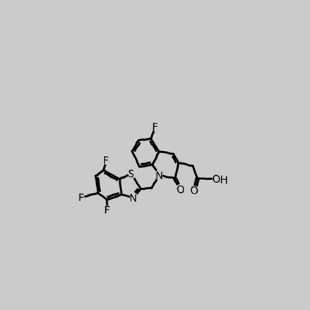 O=C(O)Cc1cc2c(F)cccc2n(Cc2nc3c(F)c(F)cc(F)c3s2)c1=O